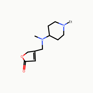 CCN1CCC(N(C)CC2=CC(=O)OC2)CC1